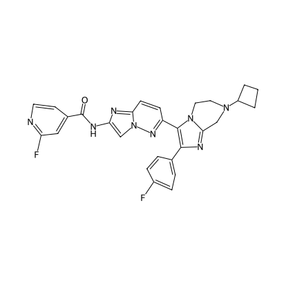 O=C(Nc1cn2nc(-c3c(-c4ccc(F)cc4)nc4n3CCN(C3CCC3)C4)ccc2n1)c1ccnc(F)c1